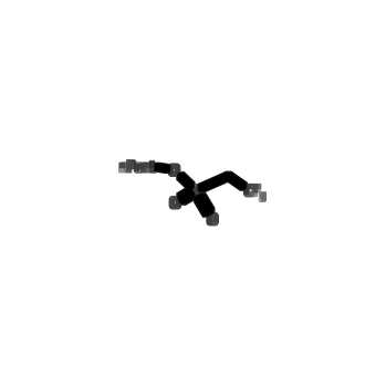 CCCCCOS(=O)(=O)CC(F)(F)F